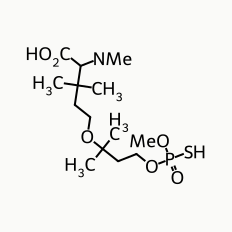 CNC(C(=O)O)C(C)(C)CCOC(C)(C)CCOP(=O)(S)OC